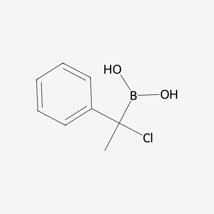 CC(Cl)(B(O)O)c1ccccc1